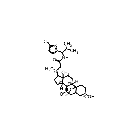 CC(C)C(NC(=O)C[C@@H](C)C1CC[C@H]2C3[C@H](O)CC4C[C@H](O)CCC4(C)[C@H]3CCC12C)c1ccc(Cl)s1